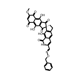 COC1=CC(=O)c2c(O)c3c(c(O)c2C1=O)C(=O)[C@]1(CCc2cc4cc(/C=N/OCc5ccccc5)[nH]c(=O)c4c(O)c21)C3=O